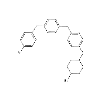 CCc1ccc(Cc2ccc(Cc3ccc(CC4CCC(CC)CC4)cn3)cc2)cc1